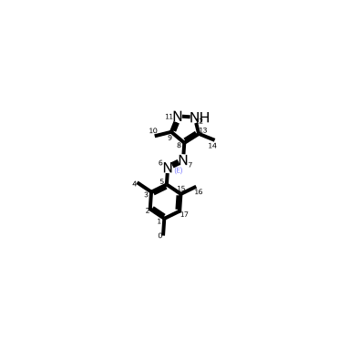 Cc1cc(C)c(/N=N/c2c(C)n[nH]c2C)c(C)c1